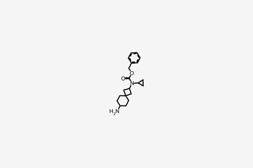 NC1CCC2(CC1)CC(N(C(=O)OCc1ccccc1)C1CC1)C2